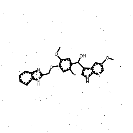 COc1cnc2[nH]cc(C(O)c3cc(OC)c(OCc4nc5ccccc5[nH]4)cc3F)c2c1